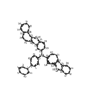 c1ccc(-c2ccc(N(c3ccc4c(c3)sc3ccccc34)c3ccc4sc5c6ccccc6ccc5c4c3)cc2)cc1